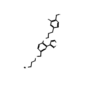 CC(C)Cc1ccc(CCCOc2ccc(CNCCCP(=O)(O)O)cc2-c2ccoc2)cc1Cl